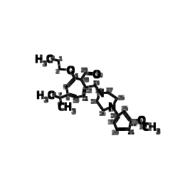 CCCOC1=CC(C(C)C)=CC=C(CN2CCN(c3cccc(OC)c3)CC2)C1C=O